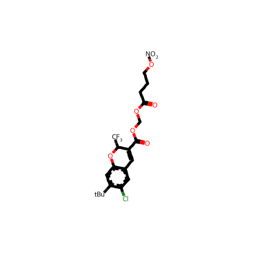 CC(C)(C)c1cc2c(cc1Cl)C=C(C(=O)OCOC(=O)CCCO[N+](=O)[O-])C(C(F)(F)F)O2